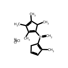 Cl.Cl.[CH2]=[Zr]([C]1=C(C)C=CC1)[C]1=C(C)C(C)=C(C)C1C